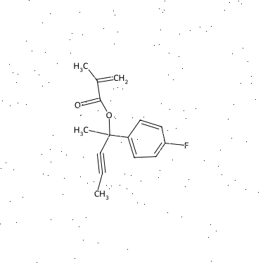 C=C(C)C(=O)OC(C)(C#CC)c1ccc(F)cc1